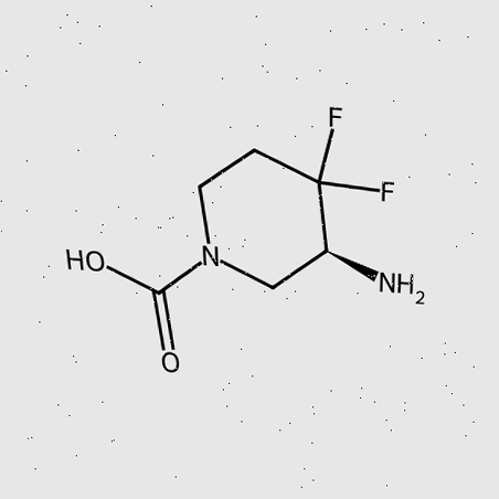 N[C@H]1CN(C(=O)O)CCC1(F)F